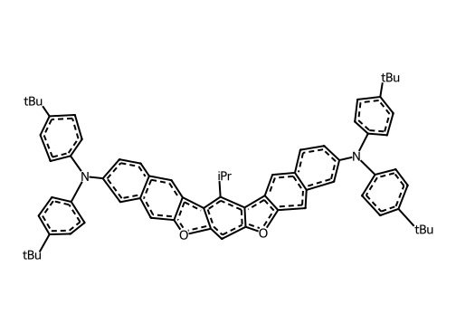 CC(C)c1c2c(cc3oc4cc5cc(N(c6ccc(C(C)(C)C)cc6)c6ccc(C(C)(C)C)cc6)ccc5cc4c13)oc1cc3cc(N(c4ccc(C(C)(C)C)cc4)c4ccc(C(C)(C)C)cc4)ccc3cc12